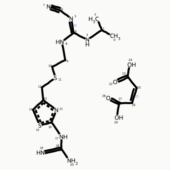 CC(C)N/C(=N/C#N)NCCSCc1csc(NC(=N)N)n1.O=C(O)/C=C\C(=O)O